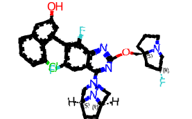 CN1[C@@H]2CC[C@H]1CN(c1nc(OC[C@@]34CCCN3C[C@H](F)C4)nc3c(F)c(-c4cc(O)cc5cccc(Cl)c45)c(F)cc13)C2